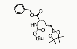 CC(C)(C)OC(=O)N[C@@H](C/C=C/B1OC(C)(C)C(C)(C)O1)C(=O)OCc1ccccc1